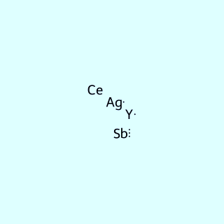 [Ag].[Ce].[Sb].[Y]